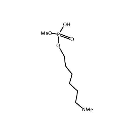 CNCCCCCCOP(=O)(O)OC